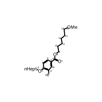 CCCCCCCOc1ccc(C(=O)OCCCCCCOC)cc1F